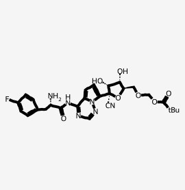 CC(C)(C)C(=O)OCOC[C@H]1O[C@@](C#N)(c2ccc3c(NC(=O)[C@@H](N)Cc4ccc(F)cc4)ncnn23)[C@H](O)[C@@H]1O